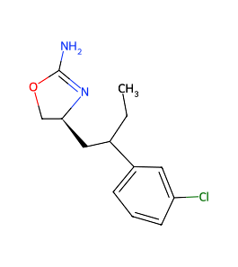 CCC(C[C@H]1COC(N)=N1)c1cccc(Cl)c1